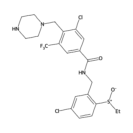 CC[S+]([O-])c1ccc(Cl)cc1CNC(=O)c1cc(Cl)c(CN2CCNCC2)c(C(F)(F)F)c1